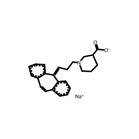 O=C([O-])C1CCCN(CCC=C2c3ccccc3C=Cc3ccccc32)C1.[Na+]